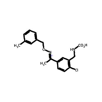 C/C(=N\OCc1cccc(C)c1)c1ccc(Cl)c(CNC(=O)O)c1